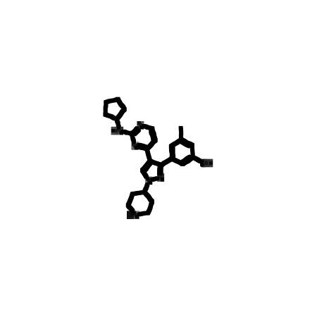 Cc1cc(O)cc(-c2nn(C3CCNCC3)cc2-c2ccnc(NC3CCCC3)n2)c1